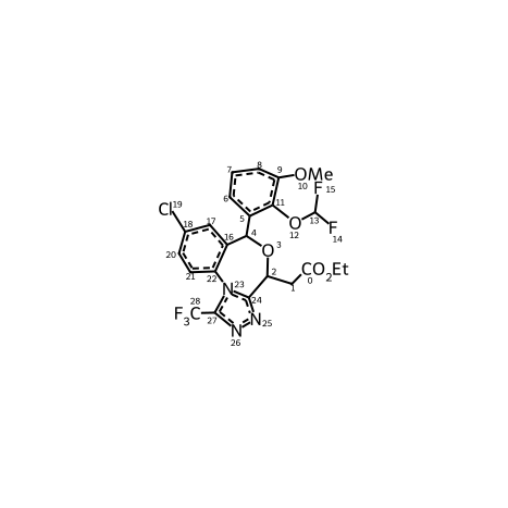 CCOC(=O)CC1OC(c2cccc(OC)c2OC(F)F)c2cc(Cl)ccc2-n2c1nnc2C(F)(F)F